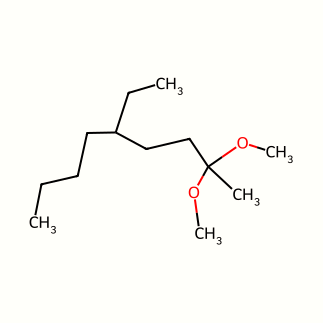 CCCCC(CC)CCC(C)(OC)OC